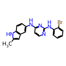 Cc1cc2cc(Nc3ccnc(Nc4ccccc4Br)n3)ccc2[nH]1